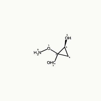 NOC1(C=O)C[C@@H]1O